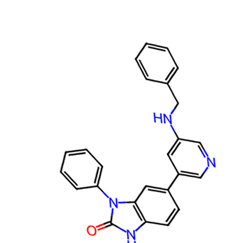 O=c1[nH]c2ccc(-c3cncc(NCc4ccccc4)c3)cc2n1-c1ccccc1